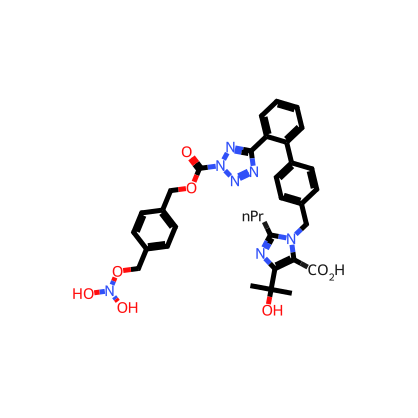 CCCc1nc(C(C)(C)O)c(C(=O)O)n1Cc1ccc(-c2ccccc2-c2nnn(C(=O)OCc3ccc(CON(O)O)cc3)n2)cc1